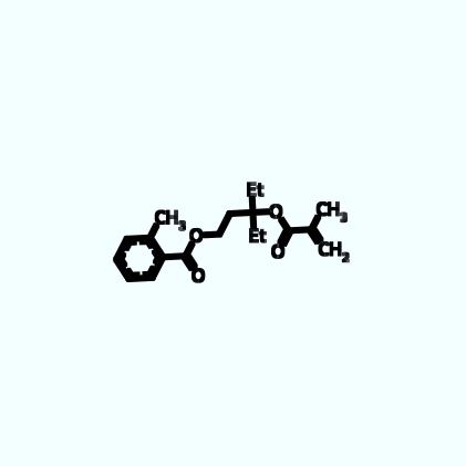 C=C(C)C(=O)OC(CC)(CC)CCOC(=O)c1ccccc1C